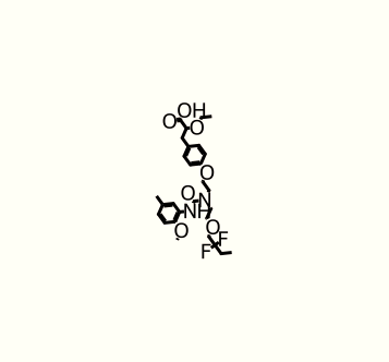 CCOC(Cc1ccc(OCCN(CCOCC(F)(F)CC)C(=O)Nc2cc(C)ccc2OC)cc1)C(=O)O